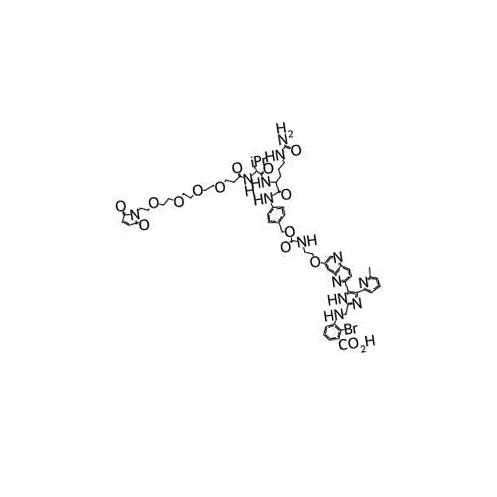 Cc1cccc(-c2nc(CNc3cccc(C(=O)O)c3Br)[nH]c2-c2ccc3ncc(OCCNC(=O)OCc4ccc(NC(=O)C(CCCNC(N)=O)NC(=O)[C@@H](NC(=O)CCOCCOCCOCCOCCN5C(=O)C=CC5=O)C(C)C)cc4)cc3n2)n1